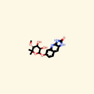 CO[C@@H]1C(O)C(O)C(Oc2ccc3cc4[nH]c(=O)[nH]c4nc3c2)OC1(C)C